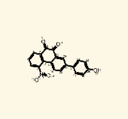 O=C1C(=O)c2cccc([N+](=O)[O-])c2-c2ccc(-c3ccc(O)cc3)cc21